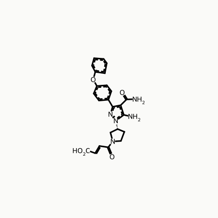 NC(=O)c1c(-c2ccc(Oc3ccccc3)cc2)nn([C@@H]2CCN(C(=O)C=CC(=O)O)C2)c1N